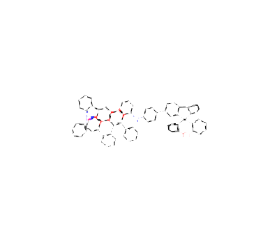 c1ccc(-c2ccccc2-c2ccccc2-c2ccccc2N(c2ccc(-c3ccc4c(c3)C3(c5ccccc5Oc5ccccc53)c3ccccc3-4)cc2)c2cccc(-c3ccc4c(c3)c3ccccc3n4-c3ccccc3)c2)cc1